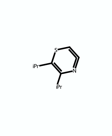 CC(C)C1=C(C(C)C)SC=C=N1